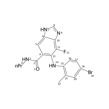 CCCNC(=O)c1cc2[nH]cnc2c(F)c1Nc1ccc(Br)cc1C